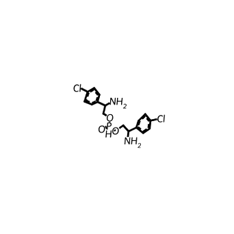 NC(CO[PH](=O)OCC(N)c1ccc(Cl)cc1)c1ccc(Cl)cc1